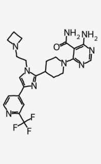 NC(=O)c1c(N)ncnc1N1CCC(c2nc(-c3ccnc(C(F)(F)F)c3)cn2CCN2CCC2)CC1